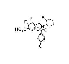 O=C(O)c1ccc(CN(C2CCCCC2F)S(=O)(=O)c2ccc(Cl)cc2)c(F)c1F